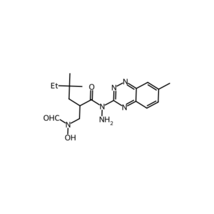 CCC(C)(C)CC(CN(O)C=O)C(=O)N(N)c1nnc2cc(C)ccc2n1